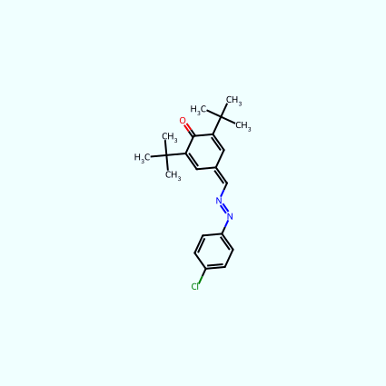 CC(C)(C)C1=CC(=CN=Nc2ccc(Cl)cc2)C=C(C(C)(C)C)C1=O